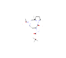 CC(=O)N1CC[C@H](NC(=O)OC(C)(C)C)C(=O)N2[C@H](CC[C@H]2C)C1